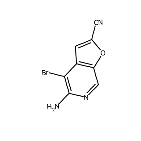 N#Cc1cc2c(Br)c(N)ncc2o1